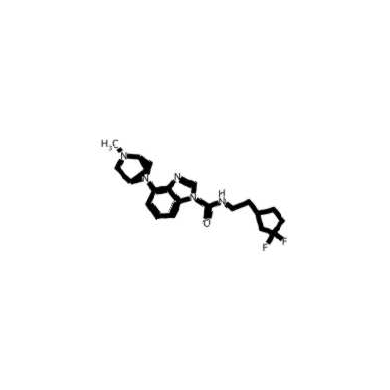 CN1CC2CC1CN2c1cccc2c1ncn2C(=O)NCCC1CCC(F)(F)C1